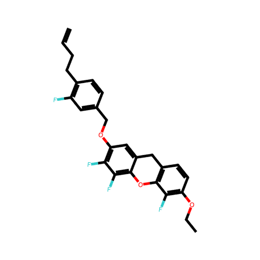 C=CCCc1ccc(COc2cc3c(c(F)c2F)Oc2c(ccc(OCC)c2F)C3)cc1F